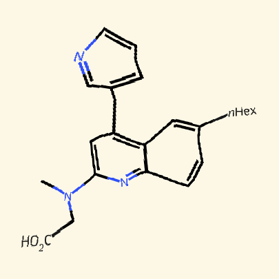 CCCCCCc1ccc2nc(N(C)CC(=O)O)cc(-c3cccnc3)c2c1